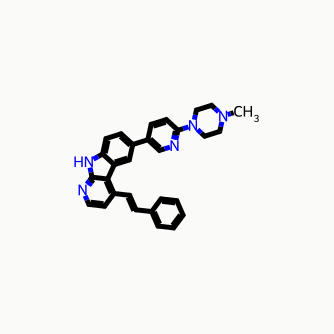 CN1CCN(c2ccc(-c3ccc4[nH]c5nccc(/C=C/c6ccccc6)c5c4c3)cn2)CC1